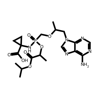 CC(C)OC(=O)C(C)OP(=O)(COC(C)Cn1cnc2c(N)ncnc21)NC1(C(=O)O)CC1